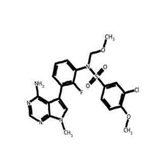 COCN(c1cccc(-c2cn(C)c3ncnc(N)c23)c1F)S(=O)(=O)c1ccc(OC)c(Cl)c1